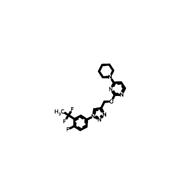 CC(F)(F)c1cc(-n2cc(COc3nccc(N4CCCCC4)n3)nn2)ccc1F